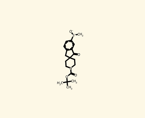 C[S+]([O-])c1ccc2c(c1)C(=O)C1(CCN(C(=O)OC(C)(C)C)CC1)C2